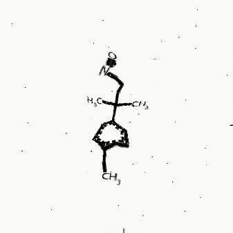 Cc1ccc(C(C)(C)CN=O)cc1